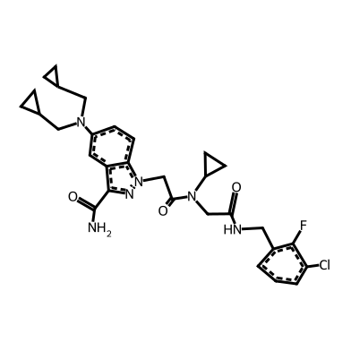 NC(=O)c1nn(CC(=O)N(CC(=O)NCc2cccc(Cl)c2F)C2CC2)c2ccc(N(CC3CC3)CC3CC3)cc12